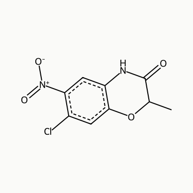 CC1Oc2cc(Cl)c([N+](=O)[O-])cc2NC1=O